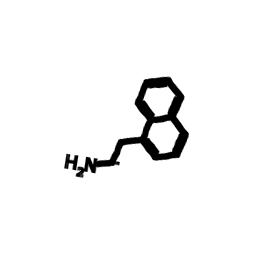 N[CH]Cc1cccc2ccccc12